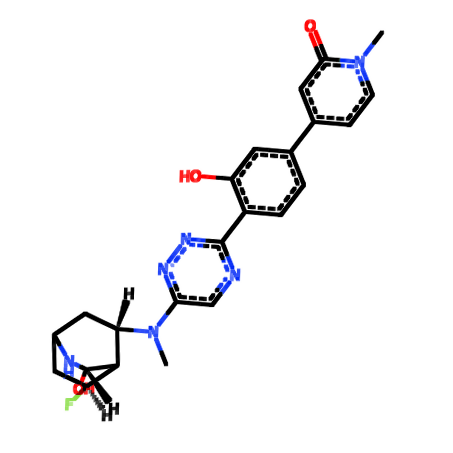 CN(c1cnc(-c2ccc(-c3ccn(C)c(=O)c3)cc2O)nn1)[C@H]1CC2C[C@H](F)C1[C@H](O)N2